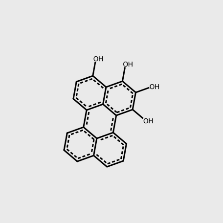 Oc1c(O)c2c(O)ccc3c4cccc5cccc(c(c1O)c23)c54